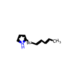 CC=CC=[CH][Ru][c]1ccc[nH]1